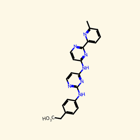 Cc1cccc(-c2nccc(Nc3ccnc(Nc4ccc(CC(=O)O)cc4)n3)n2)n1